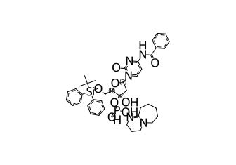 C1CCC2=NCCCN2CC1.CC(C)(C)[Si](OC[C@H]1O[C@@H](n2ccc(NC(=O)c3ccccc3)nc2=O)C[C@@]1(O)O[PH](=O)O)(c1ccccc1)c1ccccc1